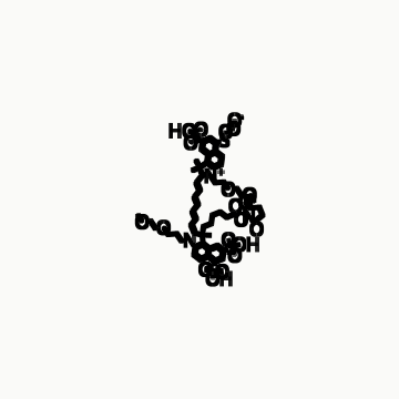 COCCOCCCN1/C(=C/C=C/C=C/C=C/C2=[N+](CCOCCOC)c3ccc4c(SOOOC)cc(S(=O)(=O)O)cc4c3C2(C)C)C(C)(CCCCCC(=O)ON2C(=O)CCC2=O)c2c1ccc1c(S(=O)(=O)O)cc(S(=O)(=O)O)cc21